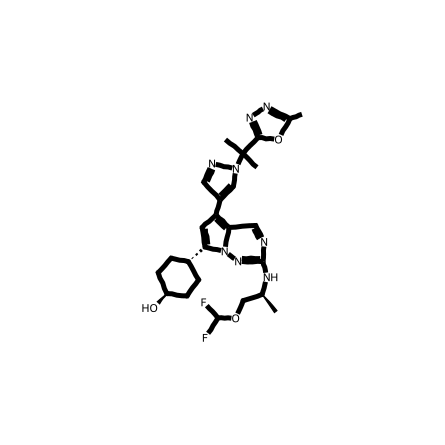 Cc1nnc(C(C)(C)n2cc(-c3cc([C@H]4CC[C@H](O)CC4)n4nc(N[C@@H](C)COC(F)F)ncc34)cn2)o1